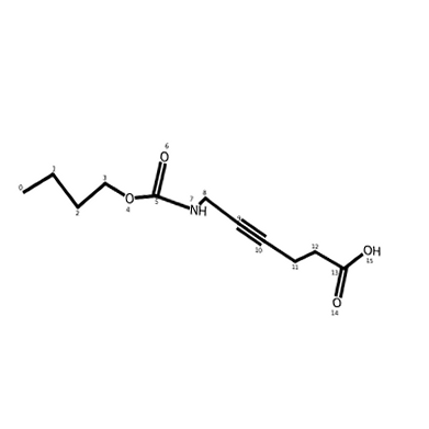 CCCCOC(=O)NCC#CCCC(=O)O